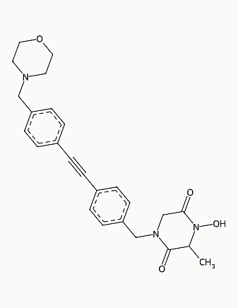 CC1C(=O)N(Cc2ccc(C#Cc3ccc(CN4CCOCC4)cc3)cc2)CC(=O)N1O